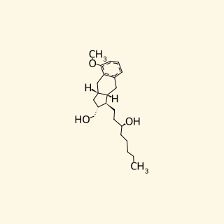 CCCCC[C@H](O)CC[C@H]1[C@H](CO)C[C@@H]2Cc3c(cccc3OC)C[C@@H]21